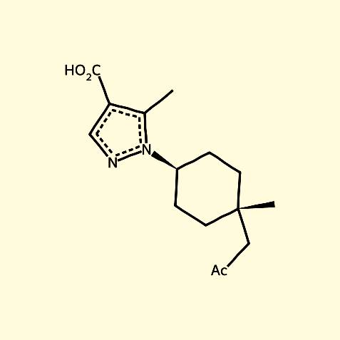 CC(=O)C[C@]1(C)CC[C@@H](n2ncc(C(=O)O)c2C)CC1